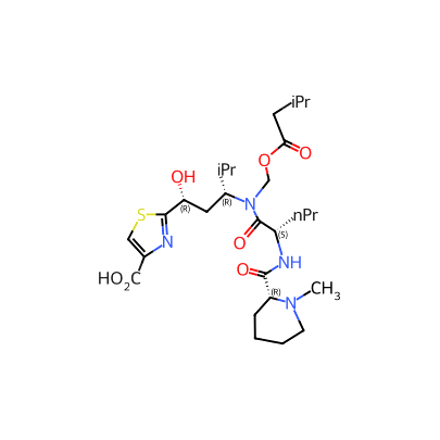 CCC[C@H](NC(=O)[C@H]1CCCCN1C)C(=O)N(COC(=O)CC(C)C)[C@H](C[C@@H](O)c1nc(C(=O)O)cs1)C(C)C